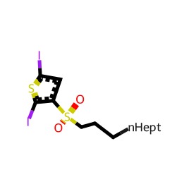 CCCCCCCCCCS(=O)(=O)c1cc(I)sc1I